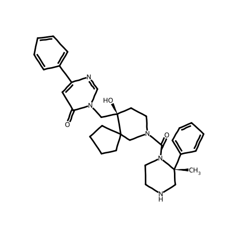 C[C@@]1(c2ccccc2)CNCCN1C(=O)N1CC[C@@](O)(Cn2cnc(-c3ccccc3)cc2=O)C2(CCCC2)C1